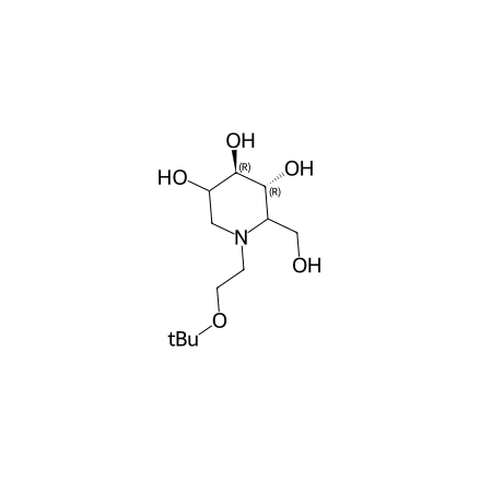 CC(C)(C)OCCN1CC(O)[C@@H](O)[C@H](O)C1CO